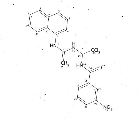 C=C(Nc1cccc2ccccc12)NC(NC(=O)c1cccc([N+](=O)[O-])c1)C(Cl)(Cl)Cl